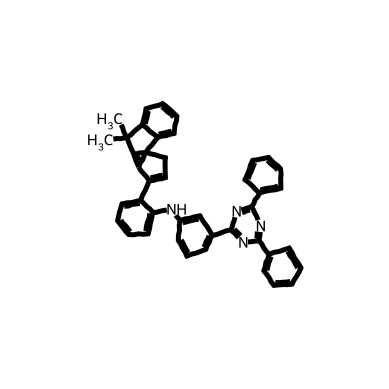 CC1(C)C2=C3C(c4ccccc4Nc4cccc(-c5nc(-c6ccccc6)nc(-c6ccccc6)n5)c4)=CCC32c2ccccc21